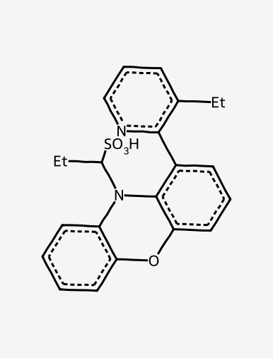 CCc1cccnc1-c1cccc2c1N(C(CC)S(=O)(=O)O)c1ccccc1O2